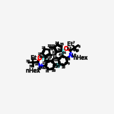 CCCCCCN(C(=O)C(C)(C)CC)c1ccc(F)[c]([Ti]([C]2=C(C)C=CC2)([C]2=C(C)C=CC2)[c]2c(F)ccc(N(CCCCCC)C(=O)C(C)(C)CC)c2F)c1F